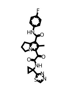 Cc1c(C(=O)Nc2ccc(F)cc2)c2n(c1C(=O)C(=O)NC1(c3nncs3)CC1)CCC2